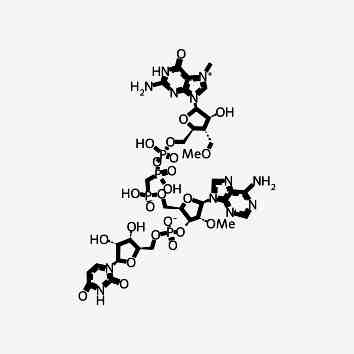 COC[C@H]1[C@@H](O)[C@H](n2c[n+](C)c3c(=O)[nH]c(N)nc32)O[C@@H]1COP(=O)(O)OP(=O)(O)CP(=O)(O)OC[C@H]1O[C@@H](n2cnc3c(N)ncnc32)[C@H](OC)[C@@H]1OP(=O)([O-])OC[C@H]1O[C@@H](n2ccc(=O)[nH]c2=O)[C@H](O)[C@@H]1O